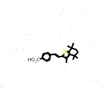 Cc1c(C=Cc2ccc(C(=O)O)cc2)sc2c1C(C)(C)CCC2(C)C